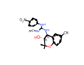 CC1(C)Oc2ccc(C#N)cc2[C@H](NC(=NC#N)Nc2ccc([N+](=O)[O-])cc2)[C@H]1O